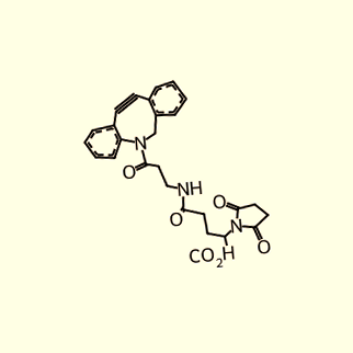 O=C(CCC(C(=O)O)N1C(=O)CCC1=O)NCCC(=O)N1Cc2ccccc2C#Cc2ccccc21